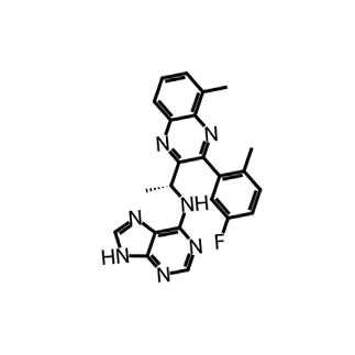 Cc1ccc(F)cc1-c1nc2c(C)cccc2nc1[C@@H](C)Nc1ncnc2[nH]cnc12